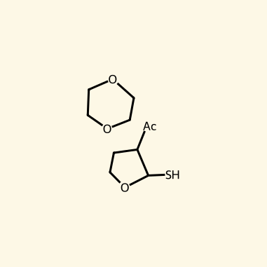 C1COCCO1.CC(=O)C1CCOC1S